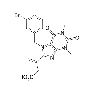 C=C(CC(=O)O)c1nc2c(c(=O)n(C)c(=O)n2C)n1Cc1cccc(Br)c1